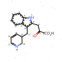 O=C(O)C(=O)Cc1[nH]c2ccccc2c1CC1C=CC=NC1